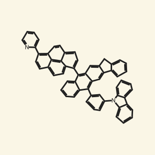 c1ccc(-c2ccc3ccc4c(-c5c6ccccc6c(-c6cccc(-n7c8ccccc8c8ccccc87)c6)c6cc7c(cc56)Cc5ccccc5-7)ccc5ccc2c3c54)nc1